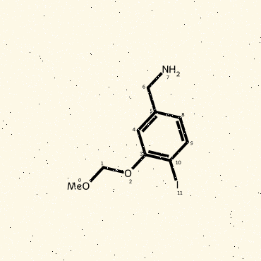 COCOc1cc(CN)ccc1I